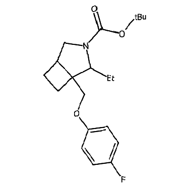 CCC1N(C(=O)OC(C)(C)C)CC2CCC21COc1ccc(F)cc1